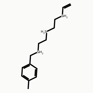 C=C[SiH2]CC[SiH2]CC[SiH2]Cc1ccc(C)cc1